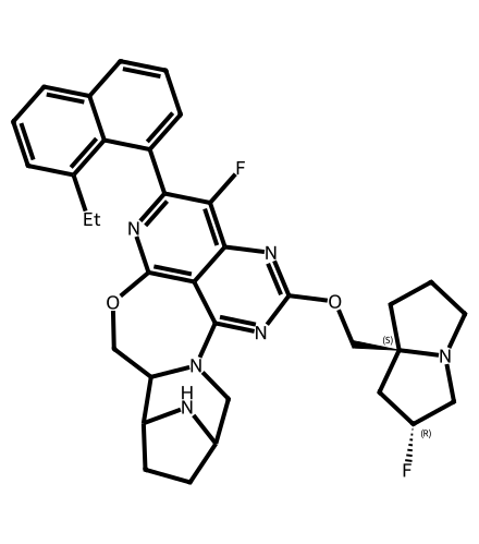 CCc1cccc2cccc(-c3nc4c5c(nc(OC[C@@]67CCCN6C[C@H](F)C7)nc5c3F)N3CC5CCC(N5)C3CO4)c12